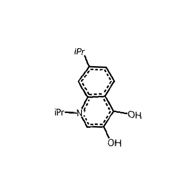 CC(C)c1ccc2c(O)c(O)c[n+](C(C)C)c2c1